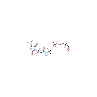 CC(C)C1CC(=O)N(C(C)(C)CC(=O)NC(C)(C)CCC(C)(C)OCCC(C)(C)C=O)C1=O